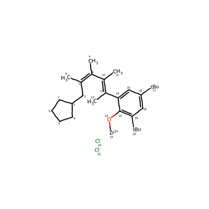 CC(CC1CCCC1)=C(C)C(C)=C(C)c1cc(C(C)(C)C)cc(C(C)(C)C)c1[O][Zr+2].[Cl-].[Cl-]